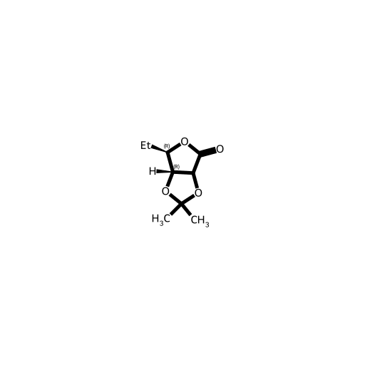 CC[C@H]1OC(=O)C2OC(C)(C)O[C@@H]21